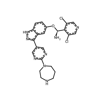 N[C@@H](Oc1ccc2[nH]nc(-c3cnc(N4CCCNCC4)nc3)c2c1)c1c(Cl)cncc1Cl